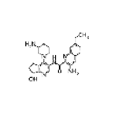 CCc1ccc2cc(N)c(C(=O)Nc3cnc4c(c3N3CCCC(N)C3)CC[C@H]4O)nc2c1